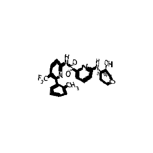 Cc1ccccc1-c1nc(NS(=O)(=O)c2cccc(N[C@H]3CCOC[C@H]3O)n2)ccc1C(F)(F)F